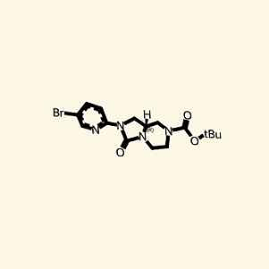 CC(C)(C)OC(=O)N1CCN2C(=O)N(c3ccc(Br)cn3)C[C@@H]2C1